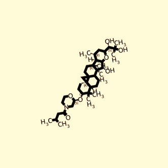 CC(C)CC(=O)N1CCO[C@@H](O[C@H]2CC[C@]34CC35CC[C@]3(C)[C@@H]6C(OC([C@H](O)C(C)(C)O)C[C@H]6C)[C@H](O)[C@@]3(C)C5CC[C@H]4C2(C)C)C1